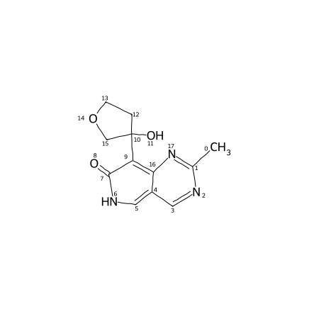 Cc1ncc2c[nH]c(=O)c(C3(O)CCOC3)c2n1